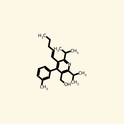 CCCC=Cc1c(C(C)C)nc(C(C)C)c(CO)c1-c1cccc(C)c1